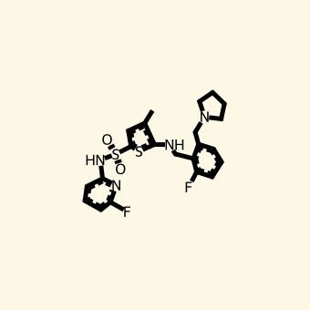 Cc1cc(S(=O)(=O)Nc2cccc(F)n2)sc1NCc1c(F)cccc1CN1CCCC1